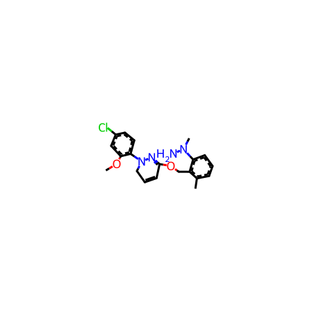 COc1cc(Cl)ccc1N1CC=CC(OCc2c(C)cccc2N(C)N)=N1